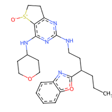 CCCC(CCNc1nc2c(c(NC3CCOCC3)n1)[S+]([O-])CC2)c1nc2ccccc2o1